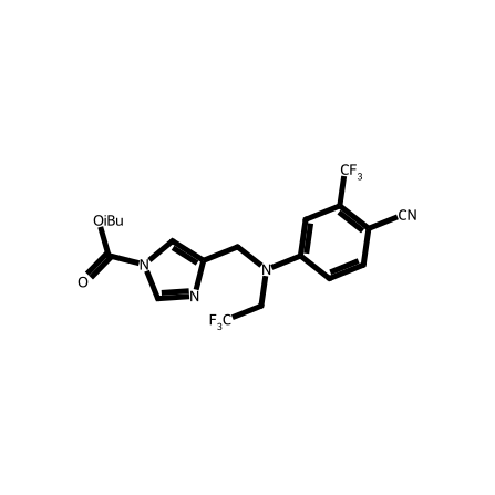 CC(C)COC(=O)n1cnc(CN(CC(F)(F)F)c2ccc(C#N)c(C(F)(F)F)c2)c1